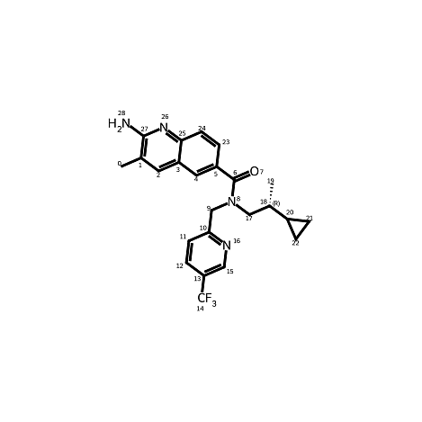 Cc1cc2cc(C(=O)N(Cc3ccc(C(F)(F)F)cn3)C[C@H](C)C3CC3)ccc2nc1N